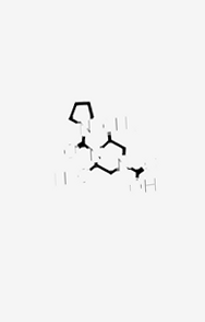 CC1CN(C(=O)O)CC(C)N1C(=O)N1CCCC1